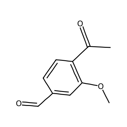 COc1cc(C=O)ccc1C(C)=O